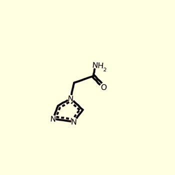 NC(=O)Cn1cnnc1